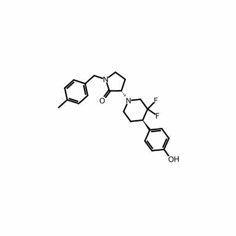 Cc1ccc(CN2CC[C@H](N3CC[C@H](c4ccc(O)cc4)C(F)(F)C3)C2=O)cc1